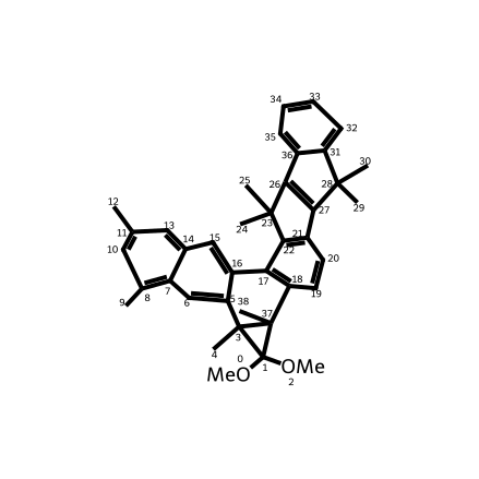 COC1(OC)C2(C)c3cc4c(C)cc(C)cc4cc3-c3c(ccc4c3C(C)(C)C3=C4C(C)(C)c4ccccc43)C12C